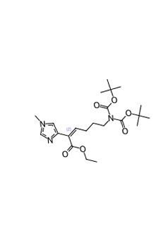 CCOC(=O)/C(=C\CCCN(C(=O)OC(C)(C)C)C(=O)OC(C)(C)C)c1cn(C)cn1